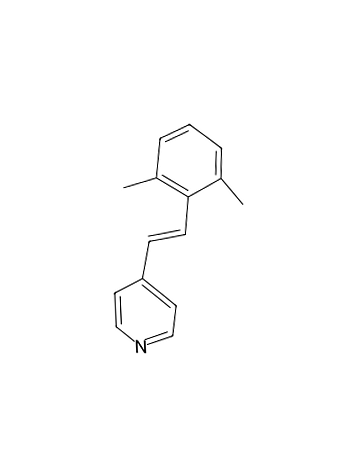 Cc1cccc(C)c1/C=C/c1ccncc1